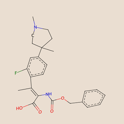 CC(=C(NC(=O)OCc1ccccc1)C(=O)O)c1ccc(C2(C)CCN(C)CC2)cc1F